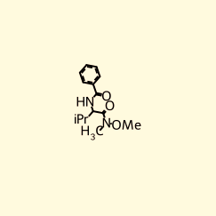 CON(C)C(=O)C(NC(=O)c1ccccc1)C(C)C